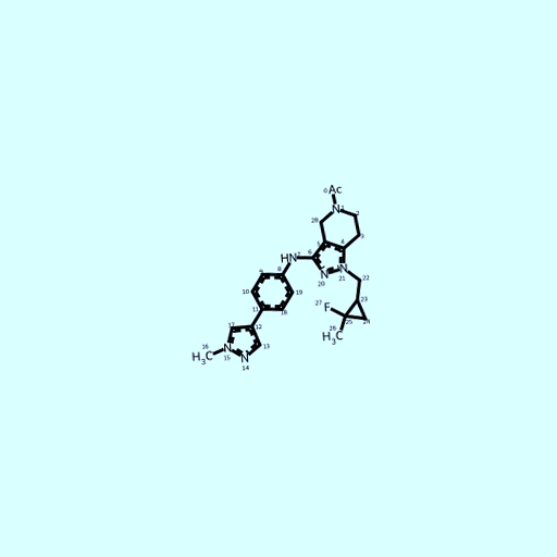 CC(=O)N1CCc2c(c(Nc3ccc(-c4cnn(C)c4)cc3)nn2CC2CC2(C)F)C1